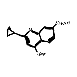 COc1ccc2c(OC)cc(C3CC3)nc2c1